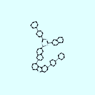 c1ccc(-c2ccc(C3=NC(c4ccc5cc(-c6cccc7oc8ccc(-c9ccc(-c%10ccccc%10)cc9)cc8c67)ccc5c4)NC(c4ccc5ccccc5c4)=N3)cc2)cc1